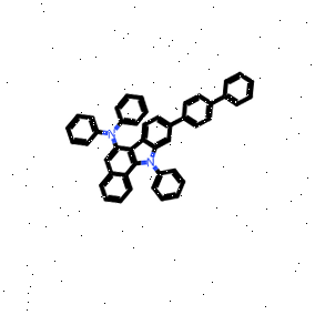 c1ccc(-c2ccc(-c3ccc4c5c(N(c6ccccc6)c6ccccc6)cc6ccccc6c5n(-c5ccccc5)c4c3)cc2)cc1